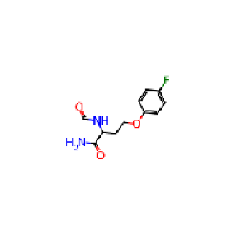 NC(=O)C(CCOc1ccc(F)cc1)NC=O